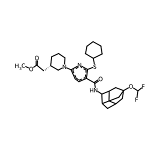 COC(=O)C[C@@H]1CCCN(c2ccc(C(=O)NC3C4CC5CC3CC(OC(F)F)(C5)C4)c(SC3CCCCC3)n2)C1